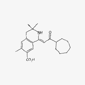 Cc1cc2c(cc1C(=O)O)C(=CC(=O)C1CCCCCC1)NC(C)(C)C2